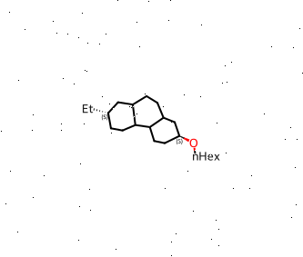 CCCCCCO[C@H]1CCC2C(CCC3C[C@@H](CC)CCC32)C1